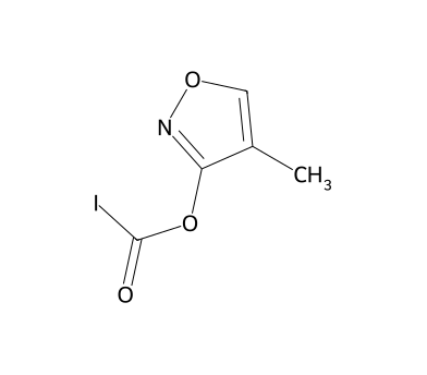 Cc1conc1OC(=O)I